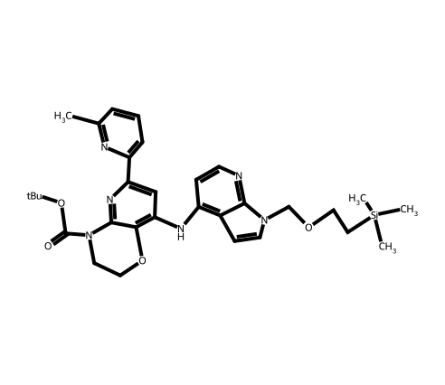 Cc1cccc(-c2cc(Nc3ccnc4c3ccn4COCC[Si](C)(C)C)c3c(n2)N(C(=O)OC(C)(C)C)CCO3)n1